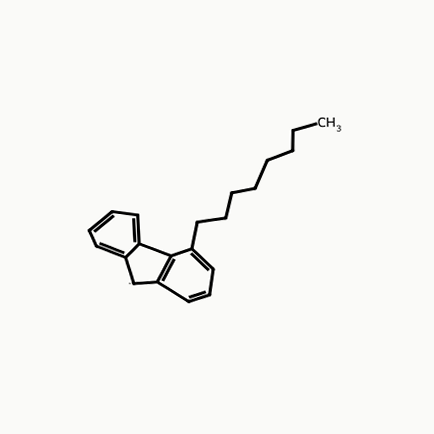 CCCCCCCCc1cccc2c1-c1ccccc1[CH]2